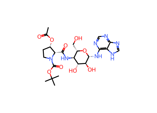 CC(=O)O[C@H]1CCN(C(=O)OC(C)(C)C)[C@H]1C(=O)N[C@@H]1[C@@H](O)[C@H](O)[C@@H](Nc2ncnc3nc[nH]c23)O[C@H]1CO